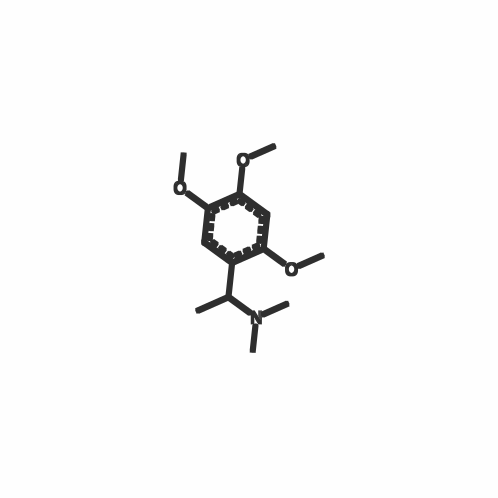 COc1cc(OC)c(C(C)N(C)C)cc1OC